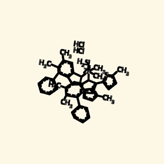 Cc1ccc(C2=Cc3c(cc(C)c(C)c3-c3ccccc3)[CH]2[Zr]([CH3])([CH3])(=[SiH2])[CH]2C(c3ccc(C)s3)=Cc3c2cc(C)c(C)c3-c2ccccc2)s1.Cl.Cl